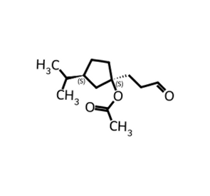 CC(=O)O[C@]1(CCC=O)CC[C@H](C(C)C)C1